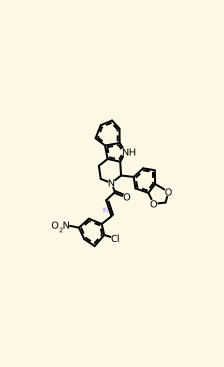 O=C(/C=C/c1cc([N+](=O)[O-])ccc1Cl)N1CCc2c([nH]c3ccccc23)C1c1ccc2c(c1)OCO2